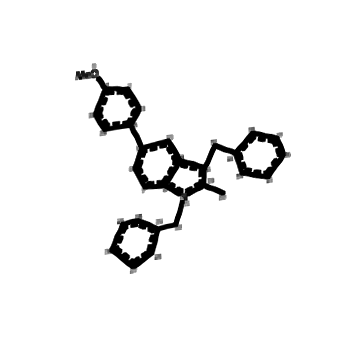 COc1ccc(-c2ccc3c(c2)c(Cc2ccccc2)c(C)n3Cc2ccccc2)cc1